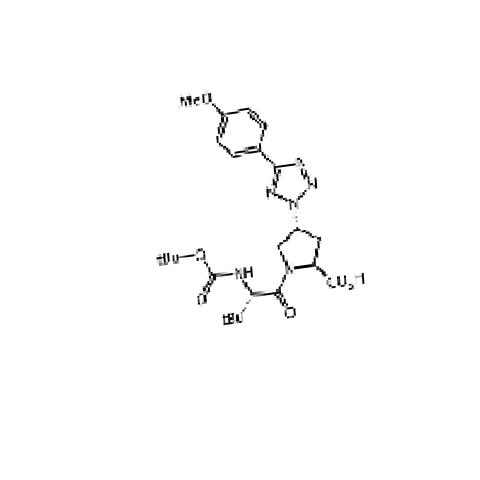 COc1ccc(-c2nnn([C@@H]3C[C@@H](C(=O)O)N(C(=O)[C@@H](NC(=O)OC(C)(C)C)C(C)(C)C)C3)n2)cc1